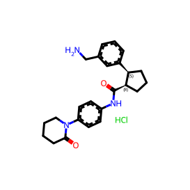 Cl.NCc1cccc([C@H]2CCC[C@H]2C(=O)Nc2ccc(N3CCCCC3=O)cc2)c1